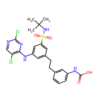 CC(C)(C)NS(=O)(=O)c1cc(CCc2cccc(NC(=O)O)c2)cc(Nc2nc(Cl)ncc2Cl)c1